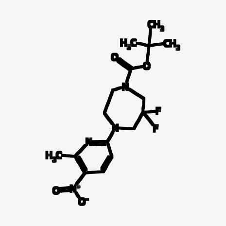 Cc1nc(N2CCN(C(=O)OC(C)(C)C)CC(F)(F)C2)ccc1[N+](=O)[O-]